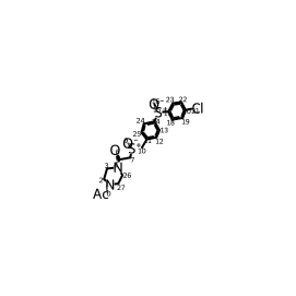 CC(=O)N1CCN(C(=O)C[S+]([O-])Cc2ccc([S+]([O-])c3ccc(Cl)cc3)cc2)CC1